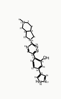 CN1CCC2CN(c3ncc(-c4ccc(-c5cn[nH]c5)cc4O)nn3)CC2C1